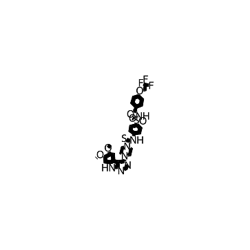 COc1cc2[nH]c3ncnc(N4CCN(C(=S)Nc5ccc(S(=O)(=O)NC(=O)c6ccc(OCC(F)(F)F)cc6)cc5)CC4)c3c2cc1OC